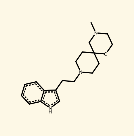 CN1CCOC2(CCN(CCc3c[nH]c4ccccc34)CC2)C1